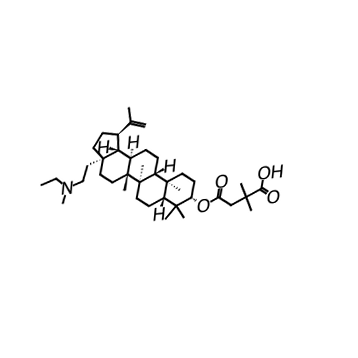 C=C(C)[C@@H]1CC[C@]2(CCN(C)CC)CC[C@]3(C)[C@H](CC[C@@H]4[C@@]5(C)CC[C@H](OC(=O)CC(C)(C)C(=O)O)C(C)(C)[C@@H]5CC[C@]43C)[C@@H]12